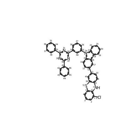 Clc1cccc2c1Nc1ccc(-c3ccc4c(c3)c3ccccc3n4-c3cccc(-c4nc(-c5ccccc5)nc(-c5ccccc5)n4)c3)cc1S2